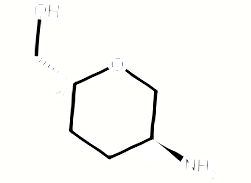 N[C@H]1CC[C@H](CO)OC1